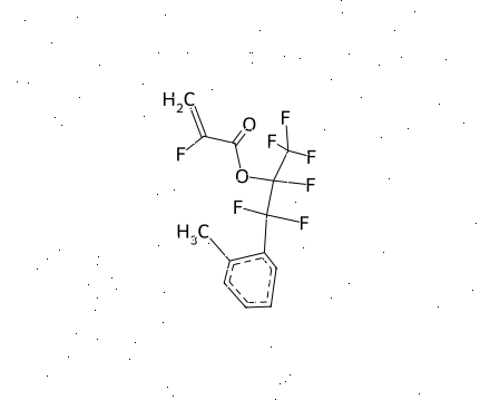 C=C(F)C(=O)OC(F)(C(F)(F)F)C(F)(F)c1ccccc1C